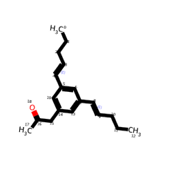 CCC/C=C/c1cc(/C=C/CCC)cc(CC(C)=O)c1